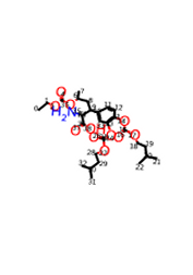 CCOC(=O)OC(C)CC(c1ccc(OC(=O)OCCC(C)C)c(OC(=O)OCCC(C)C)c1)[C@H](N)C(=O)O